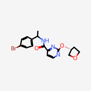 CC(NC(=O)c1ccnc(O[C@@H]2CCOC2)n1)c1ccc(Br)cc1